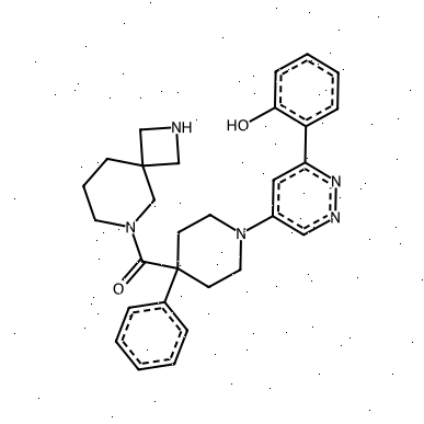 O=C(N1CCCC2(CNC2)C1)C1(c2ccccc2)CCN(c2cnnc(-c3ccccc3O)c2)CC1